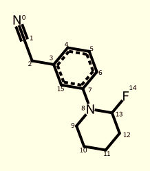 N#CCc1cccc(N2CCCCC2F)c1